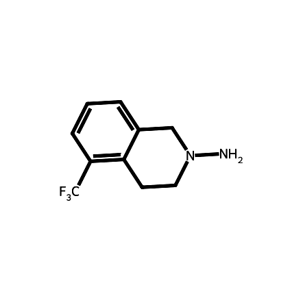 NN1CCc2c(cccc2C(F)(F)F)C1